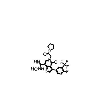 N=C(NO)c1cn(CC(=O)N2CCCC2)c(=O)c2c(-c3ccc(F)c(C(F)(F)F)c3)csc12